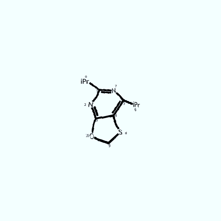 CC(C)c1nc2c(c(C(C)C)n1)SCO2